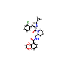 O=C(NC[C@@H]1CCCCN1C(=O)c1nc(C2CC2)sc1-c1ccccc1F)c1cccc2c1OCCO2